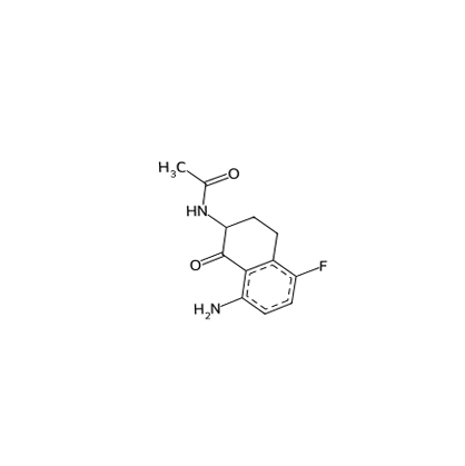 CC(=O)NC1CCc2c(F)ccc(N)c2C1=O